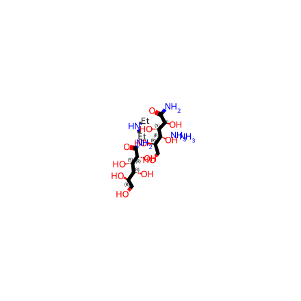 CCNCC.N.N.NC(=O)[C@H](O)[C@@H](O)[C@H](O)[C@H](O)CO.NC(=O)[C@H](O)[C@@H](O)[C@H](O)[C@H](O)CO